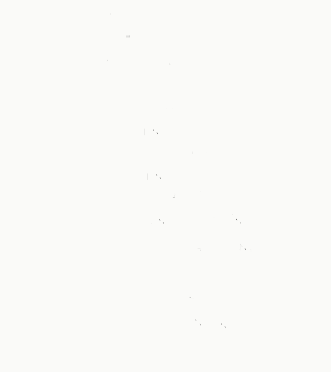 Cn1cc(-c2n[nH]c3cc(NC(=O)NCc4ccc(F)c(Cl)c4)ncc23)cn1